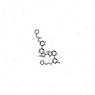 Fc1cc(OCCN2CCCC2)cc(-c2nccc3[nH]c(-c4n[nH]c5ncc(-c6cncc(CNCC7CCCC7)c6)cc45)nc23)c1